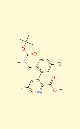 COC(=O)c1ncc(C)cc1-c1cc(Cl)ccc1CN(C)C(=O)OC(C)(C)C